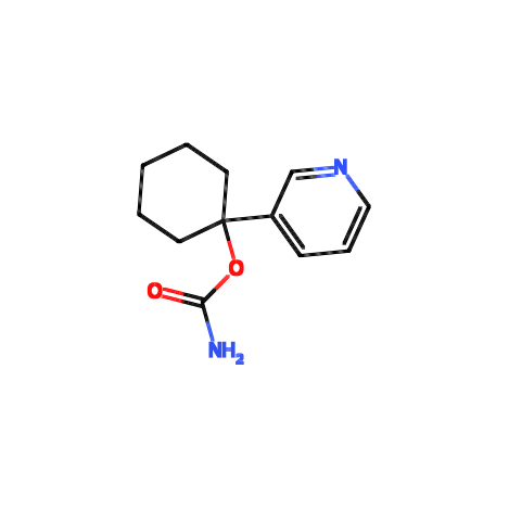 NC(=O)OC1(c2cccnc2)CCCCC1